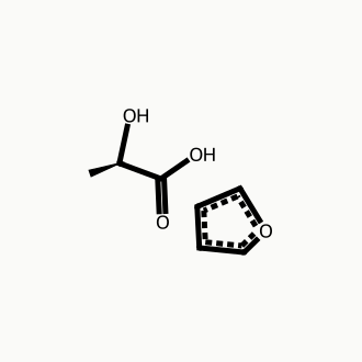 C[C@@H](O)C(=O)O.c1ccoc1